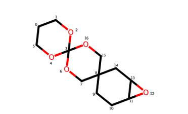 C1COC2(OC1)OCC1(CCC3OC3C1)CO2